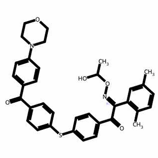 Cc1ccc(C)c(/C(=N\OC(C)O)C(=O)c2ccc(Sc3ccc(C(=O)c4ccc(N5CCOCC5)cc4)cc3)cc2)c1